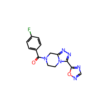 O=C(c1ccc(F)cc1)N1CCn2c(nnc2-c2ncno2)C1